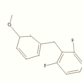 COC1[CH]C(Cc2c(F)cccc2F)=CC=C1